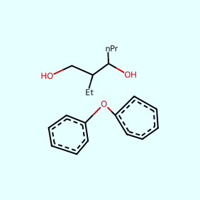 CCCC(O)C(CC)CO.c1ccc(Oc2ccccc2)cc1